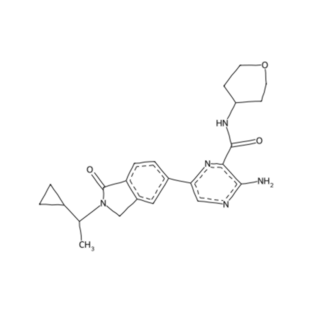 CC(C1CC1)N1Cc2cc(-c3cnc(N)c(C(=O)NC4CCOCC4)n3)ccc2C1=O